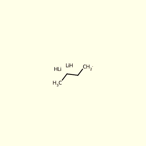 [CH2]CCC.[LiH].[LiH]